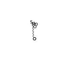 CSC1CC(=O)N1CC(=O)CCCCCCCc1ccccc1